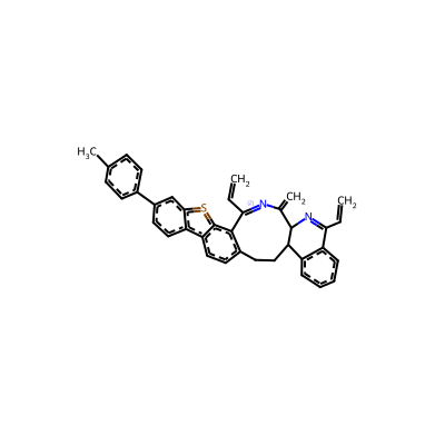 C=CC1=NC2C(=C)/N=C(/C=C)c3c(ccc4c3sc3cc(-c5ccc(C)cc5)ccc34)CCC2c2ccccc21